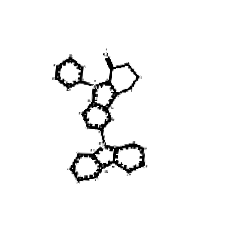 O=C1CCCc2c1n(-c1ccccc1)c1ccc(-n3c4ccccc4c4ccccc43)cc21